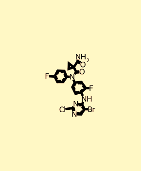 NC(=O)C1(C(=O)N(c2ccc(F)cc2)c2ccc(Nc3nc(Cl)ncc3Br)c(F)c2)CC1